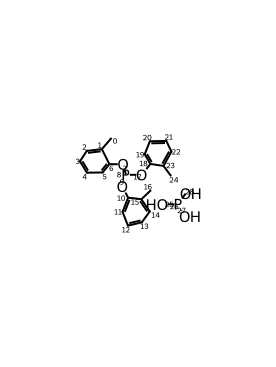 Cc1ccccc1OP(Oc1ccccc1C)Oc1ccccc1C.OP(O)O